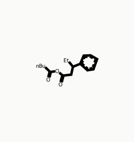 CCCCC(=O)OC(=O)CC(CC)c1ccccc1